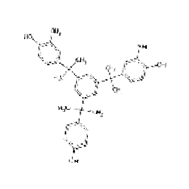 Bc1cc(C(C)(C)c2cc(C(C)(C)c3ccc(O)cc3)cc(C(C)(C)c3ccc(O)c(S)c3)c2)ccc1O